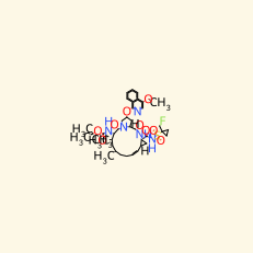 COc1cnc(O[C@@H]2C[C@H]3C(=O)N[C@]4(C(=O)NS(=O)(=O)C5(CF)CC5)C[C@H]4/C=C\CCC(C)C[C@@H](C)[C@H](NC(=O)OC(C)(C)C)C(=O)N3C2)c2ccccc12